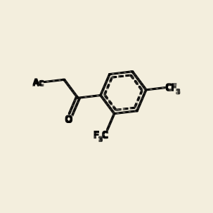 CC(=O)CC(=O)c1ccc(C(F)(F)F)cc1C(F)(F)F